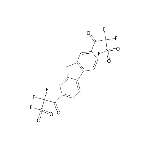 O=C(c1ccc2c(c1)Cc1cc(C(=O)C(F)(F)S(=O)(=O)F)ccc1-2)C(F)(F)S(=O)(=O)F